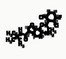 C[C@@H](Oc1c(N)ncc2c(C(=O)NC(C)(C)C)coc12)c1c(Cl)ccc(F)c1Cl